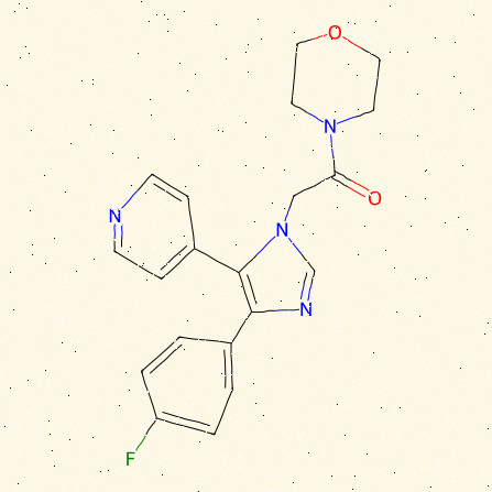 O=C(Cn1cnc(-c2ccc(F)cc2)c1-c1ccncc1)N1CCOCC1